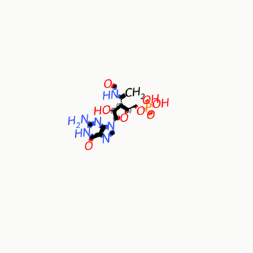 C=C(NC=O)[C@H]1[C@@H](O)[C@H](n2cnc3c(=O)[nH]c(N)nc32)O[C@@H]1COP(=O)(O)O